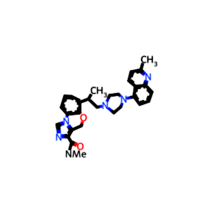 CNC(=O)c1ncn2c1COc1c(C(C)CN3CCN(c4cccc5nc(C)ccc45)CC3)cccc1-2